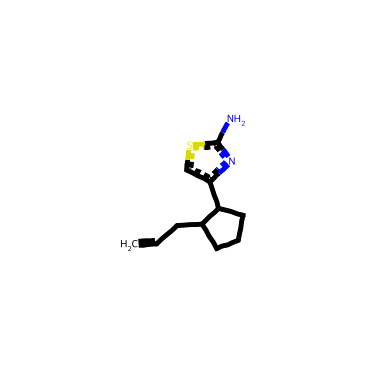 C=CCC1CCC[C]1c1csc(N)n1